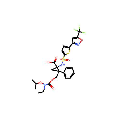 CCN(OC(C)C)C(=O)OC[C@@]1(c2ccccc2)C[C@]1(NS(=O)(=O)c1ccc(-c2cc(C(F)(F)F)on2)s1)C(=O)O